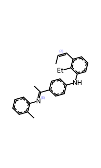 C/C=C\c1cccc(Nc2ccc(/C(C)=N/c3ccccc3C)cc2)c1CC